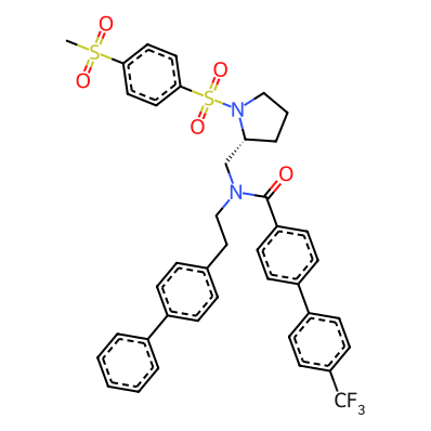 CS(=O)(=O)c1ccc(S(=O)(=O)N2CCC[C@@H]2CN(CCc2ccc(-c3ccccc3)cc2)C(=O)c2ccc(-c3ccc(C(F)(F)F)cc3)cc2)cc1